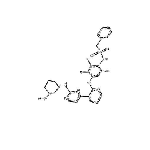 O=C(O)N1CCC[C@H](Nc2nccc(-c3cccnc3Oc3cc(F)c(NS(=O)(=O)Cc4ccccc4)c(F)c3F)n2)C1